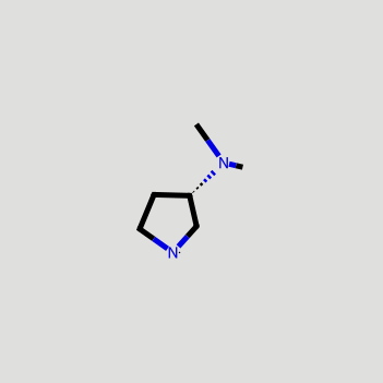 CN(C)[C@H]1CC[N]C1